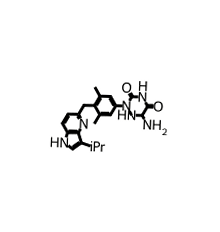 Cc1cc(N2NC(N)C(=O)NC2=O)cc(C)c1Cc1ccc2[nH]cc(C(C)C)c2n1